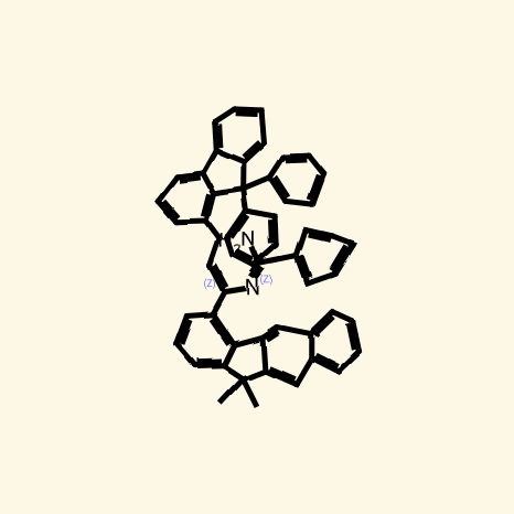 CC1(C)c2cc3ccccc3cc2-c2c(C(=C/Cc3cccc4c3C(c3ccccc3)(c3ccccc3)c3ccccc3-4)/N=C(\N)c3ccccc3)cccc21